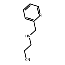 N#CCCNCc1ccccn1